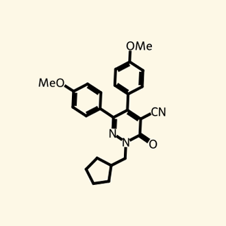 COc1ccc(-c2nn(CC3CCCC3)c(=O)c(C#N)c2-c2ccc(OC)cc2)cc1